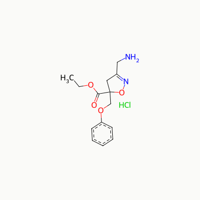 CCOC(=O)C1(COc2ccccc2)CC(CN)=NO1.Cl